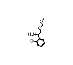 COCOCC(N)c1ccccc1Cl